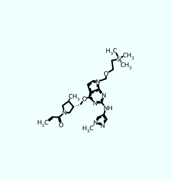 C=CC(=O)N1C[C@@H](COc2nc(Nc3cnn(C)c3)nc3c2ccn3COCC[Si](C)(C)C)[C@H](C)C1